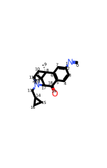 C=Nc1ccc2c(c1)[C@]1(C)CCN(CC3CC3)C(C2=O)[C@@H]1C